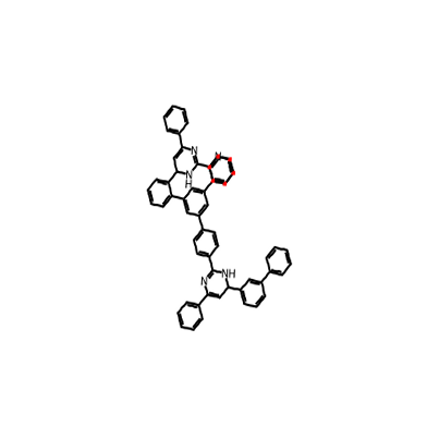 C1=C(c2ccccc2)N=C(c2ccc(-c3cc(-c4cccnc4)cc(-c4ccccc4C4C=C(c5ccccc5)N=C(c5ccccc5)N4)c3)cc2)NC1c1cccc(-c2ccccc2)c1